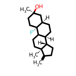 C=C1CC[C@H]2[C@@H]3CC[C@@H]4C[C@](C)(O)CC[C@]4(F)C3CC[C@]12C